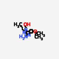 CCCCc1nc2c(N)nc3cc(OC(C)CC)ccc3c2n1CCO